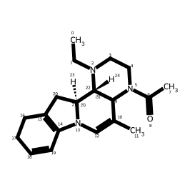 CCN1CCN(C(C)=O)C2C(C)=CN3C4=C(CCC=C4)C[C@H]3[C@@H]21